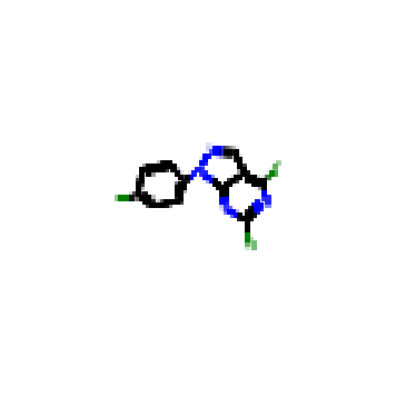 Fc1ccc(-n2ncc3c(Cl)nc(Cl)nc32)cc1